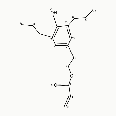 C=CC(=O)OCCc1cc(CCC)c(O)c(CCC)c1